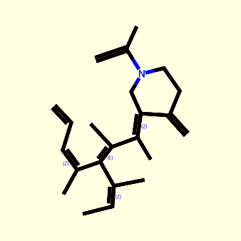 C=C\C=C(C)/C(C(/C)=C\C)=C(C)/C(C)=C1\CN(C(=C)C)CCC1=C